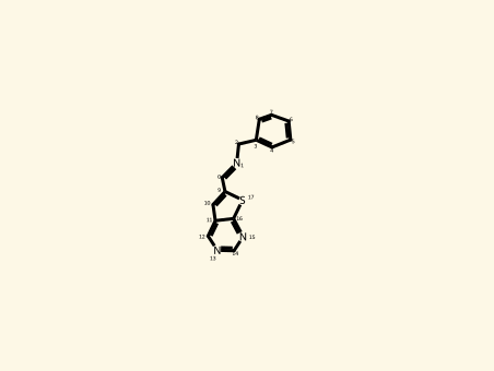 C(=NCc1ccccc1)c1cc2cncnc2s1